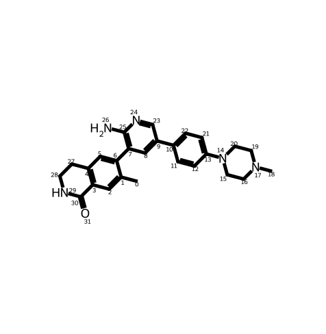 Cc1cc2c(cc1-c1cc(-c3ccc(N4CCN(C)CC4)cc3)cnc1N)CCNC2=O